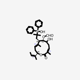 C/C=C(/C)[C@H]1C/C=C(\C)[C@@H](CC(C)(C)[Si](O)(c2ccccc2)c2ccccc2)[C@H](OC=O)C(O)C/C=C(/C)C(=O)O1